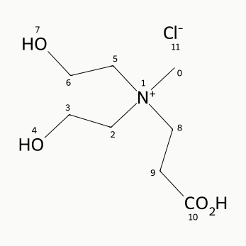 C[N+](CCO)(CCO)CCC(=O)O.[Cl-]